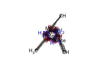 C#CC#CC#CC#CC#CC#CC#CC#COC(=O)Cc1cc2c(O)c(c1)C(=O)NC1CC(N)C(C(=O)OC)CC1C(=O)Nc1cc(CC(=O)OCC#CC#CC#CC#CC#CC#CC#CC)cc(c1O)C(=O)NC1CC(N)C(C(=O)OC)CC1C(=O)Nc1cc(CC(=O)OC#CC#CC#CC#CC#CC#CC#CC#C)cc(c1O)C(=O)NC1CC(N)C(C(=O)OC)CC1C(=O)N2